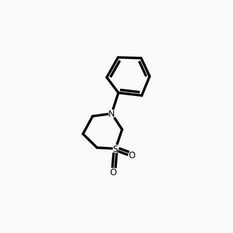 O=S1(=O)CCCN(c2ccccc2)C1